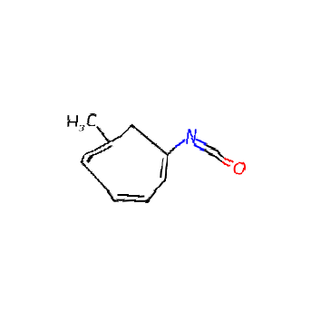 CC1=CC=CC=C(N=C=O)C1